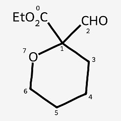 CCOC(=O)C1(C=O)CCCCO1